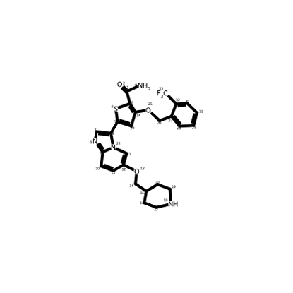 NC(=O)c1sc(-c2cnc3ccc(OCC4CCNCC4)cn23)cc1OCc1ccccc1C(F)(F)F